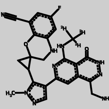 [2H]C([2H])([2H])Nc1nc(-c2cnn(C)c2C2CC23CNc2cc(F)cc(C#N)c2O3)cc2c(CN)n[nH]c(=O)c12